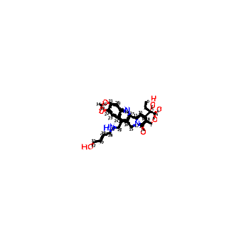 CC[C@@]1(O)C(=O)OCc2c1cc1n(c2=O)Cc2c-1nc1cc3c(cc1c2CNCCCCO)OCO3